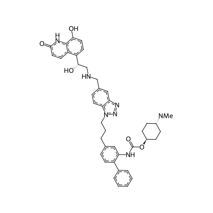 CN[C@H]1CC[C@H](OC(=O)Nc2cc(CCCn3nnc4cc(CNC[C@H](O)c5ccc(O)c6[nH]c(=O)ccc56)ccc43)ccc2-c2ccccc2)CC1